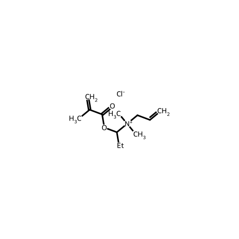 C=CC[N+](C)(C)C(CC)OC(=O)C(=C)C.[Cl-]